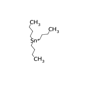 CCC[CH2][Sn+]([CH2]CCC)[CH2]CCC